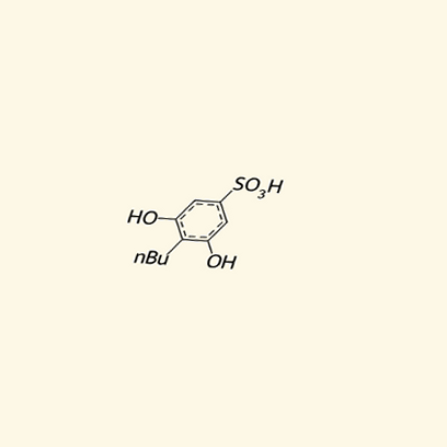 CCCCc1c(O)cc(S(=O)(=O)O)cc1O